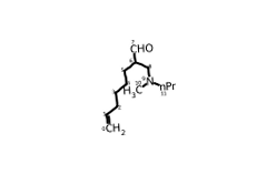 C=CCCCCC(C=O)CN(C)CCC